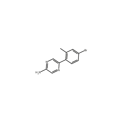 Cc1cc(Br)ccc1-c1cnc(N)cn1